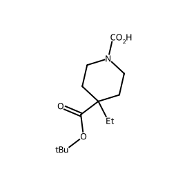 CCC1(C(=O)OC(C)(C)C)CCN(C(=O)O)CC1